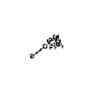 CC(N)(C(F)F)[C@H](NC(=O)c1ccc(C#CC#Cc2ccsc2)cc1)C(=O)NO